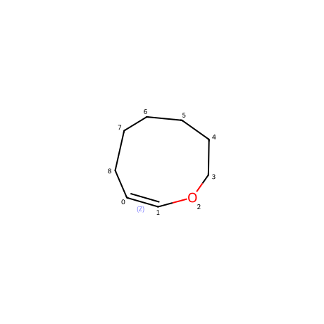 C1=C\OCCCCCC/1